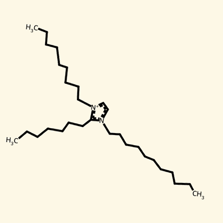 CCCCCCCCCCCn1cc[n+](CCCCCCCCC)c1CCCCCCC